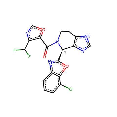 O=C(c1ocnc1C(F)F)N1CCc2[nH]cnc2[C@H]1c1nc2cccc(Cl)c2o1